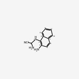 N#CC(N)Nc1c(N)ccc2ccccc12